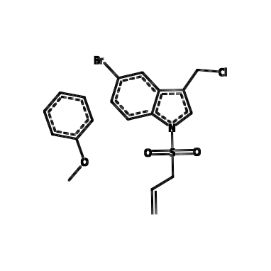 C=CCS(=O)(=O)n1cc(CCl)c2cc(Br)ccc21.COc1ccccc1